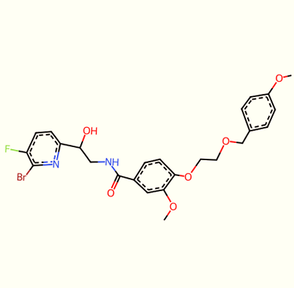 COc1ccc(COCCOc2ccc(C(=O)NCC(O)c3ccc(F)c(Br)n3)cc2OC)cc1